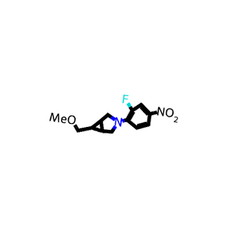 COCC1C2CN(c3ccc([N+](=O)[O-])cc3F)CC12